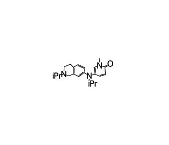 CC(C)N1CCc2ccc(N(c3ccc(=O)n(C)c3)C(C)C)cc2C1